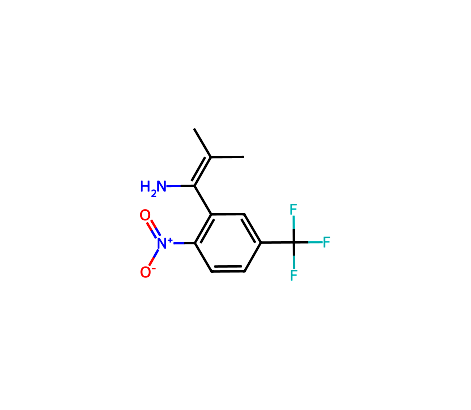 CC(C)=C(N)c1cc(C(F)(F)F)ccc1[N+](=O)[O-]